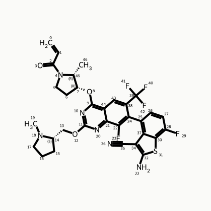 C=CC(=O)N1CC[C@@H](Oc2nc(OC[C@@H]3CCCN3C)nc3c(F)c(-c4ccc(F)c5sc(N)c(C#N)c45)c(C(F)(F)F)cc23)[C@H]1C